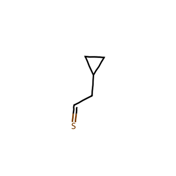 S=CCC1CC1